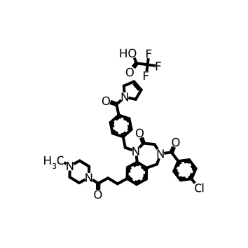 CN1CCN(C(=O)CCc2ccc3c(c2)N(Cc2ccc(C(=O)N4CC=CC4)cc2)C(=O)CN(C(=O)c2ccc(Cl)cc2)C3)CC1.O=C(O)C(F)(F)F